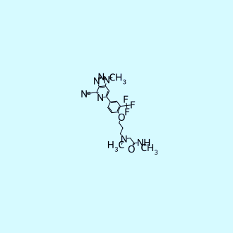 CNC(=O)CN(C)CCCOc1ccc(-c2cc3c(nnn3C)c(C#N)n2)cc1C(F)(F)F